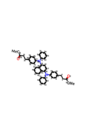 COC(=O)CCc1ccc(N(c2ccccc2)c2[c]cc(N(c3ccccc3)c3ccc(CCC(=O)OC)cc3)c3ccccc23)cc1